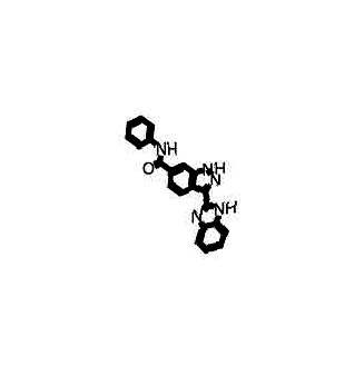 O=C(Nc1ccccc1)c1ccc2c(-c3nc4ccccc4[nH]3)n[nH]c2c1